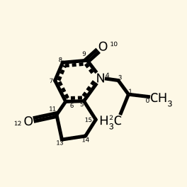 CC(C)Cn1c2c(ccc1=O)C(=O)CCC2